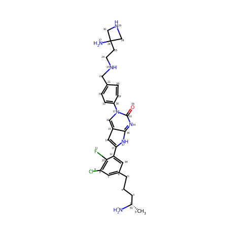 C[C@H](N)CCCc1cc(Cl)c(F)c(-c2cc3cn(-c4ccc(CNCCC5(N)CNC5)cc4)c(=O)nc3[nH]2)c1